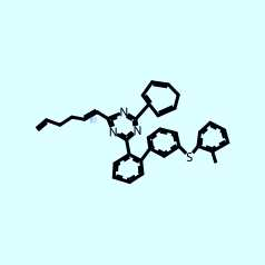 C=CCC/C=C/c1nc(C2=CC=CCC=C2)nc(-c2ccccc2-c2cccc(Sc3ccccc3C)c2)n1